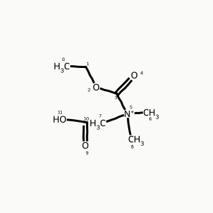 CCOC(=O)[N+](C)(C)C.O=CO